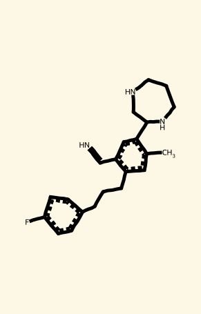 Cc1cc(CCCc2ccc(F)cc2)c(C=N)cc1C1CNCCCN1